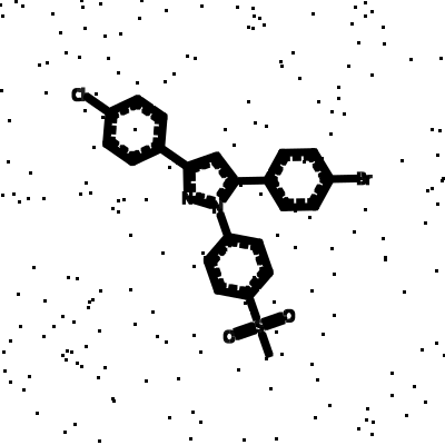 CS(=O)(=O)c1ccc(-n2nc(-c3ccc(Cl)cc3)cc2-c2ccc(Br)cc2)cc1